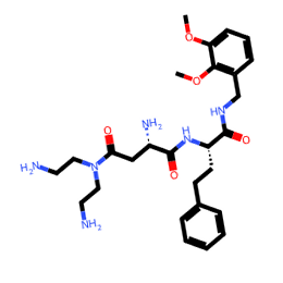 COc1cccc(CNC(=O)[C@H](CCc2ccccc2)NC(=O)[C@@H](N)CC(=O)N(CCN)CCN)c1OC